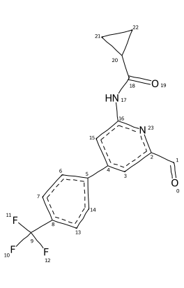 O=Cc1cc(-c2ccc(C(F)(F)F)cc2)cc(NC(=O)C2CC2)n1